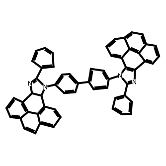 c1ccc(C2=NC3c4cccc5ccc6cccc(c6c45)C3N2c2ccc(-c3ccc(-n4c(-c5ccccc5)nc5c6cccc7ccc8cccc(c8c76)c54)cc3)cc2)cc1